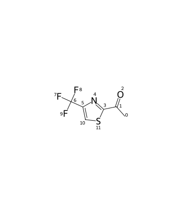 CC(=O)c1nc(C(F)(F)F)cs1